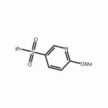 COc1ccc(S(=O)(=O)C(C)C)cn1